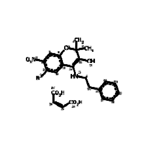 CC1(C)Oc2cc([N+](=O)[O-])c(Br)cc2C(NCCc2ccccc2)=C1O.O=C(O)/C=C\C(=O)O